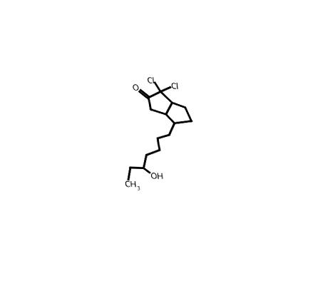 CCC(O)CCCCC1CCC2C1CC(=O)C2(Cl)Cl